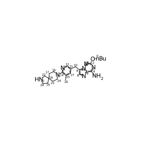 CCCCOc1nc(N)c2ncc(Cc3cnc(N4CCC5(CCNC5)CC4)c(C)c3)n2n1